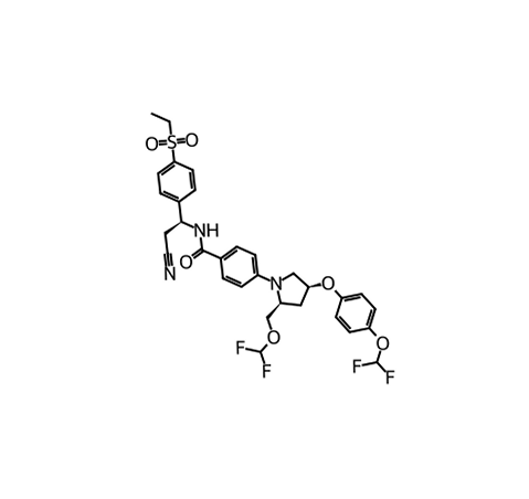 CCS(=O)(=O)c1ccc([C@H](CC#N)NC(=O)c2ccc(N3C[C@@H](Oc4ccc(OC(F)F)cc4)C[C@H]3COC(F)F)cc2)cc1